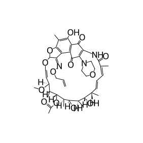 C=CCO/N=C1/c2c3c(C)c(O)c4c2C(=O)C(N2CCOCC2)=C(NC(=O)/C(C)=C\C=C\[C@H](C)[C@H](O)[C@@H](C)[C@@H](O)[C@@H](C)[C@H](OC(C)=O)[C@H](C)[C@@H](OC)/C=C/O[C@@]1(C)O3)C4=O